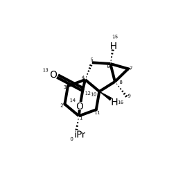 CC(C)[C@@]12CC[C@]3(C[C@H]4C[C@@]4(C)[C@@H]3C1)C(=O)O2